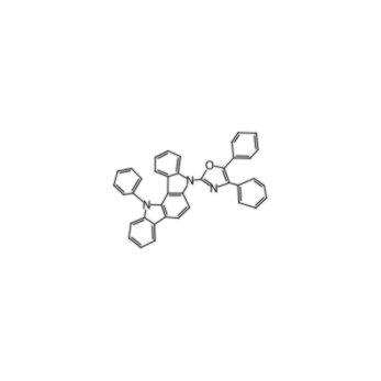 c1ccc(-c2nc(-n3c4ccccc4c4c3ccc3c5ccccc5n(-c5ccccc5)c34)oc2-c2ccccc2)cc1